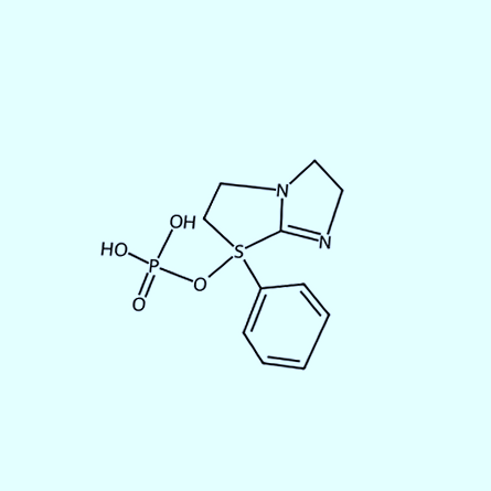 O=P(O)(O)OS1(c2ccccc2)CCN2CCN=C21